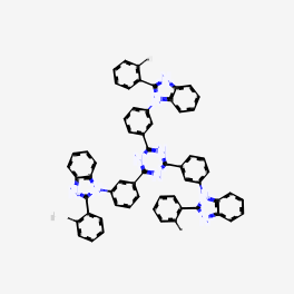 CC(C)c1ccccc1-c1nc2ccccc2n1-c1cccc(-c2nc(-c3cccc(-n4c(-c5ccccc5C(C)C)nc5ccccc54)c3)nc(-c3cccc(-n4c(-c5ccccc5C(C)C)nc5ccccc54)c3)n2)c1